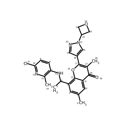 Cc1cc(C(C)Nc2ccc(Cl)nc2C)c2oc(-c3cnn(C4COC4)c3)c(C)c(=O)c2c1